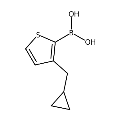 OB(O)c1sccc1CC1CC1